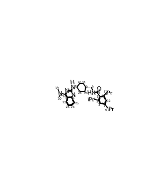 CC(C)c1cc(C(C)C)c(C(=O)NC[C@H]2CC[C@@H](Nc3nc(N(C)C)c4ccccc4n3)CC2)c(C(C)C)c1